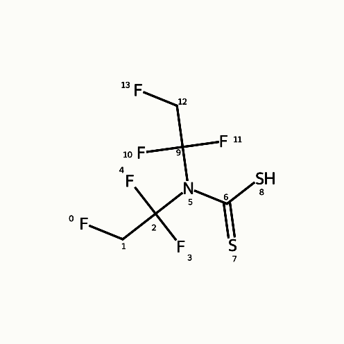 FCC(F)(F)N(C(=S)S)C(F)(F)CF